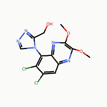 COc1nc2cc(Cl)c(Cl)c(-n3cnnc3CO)c2nc1OC